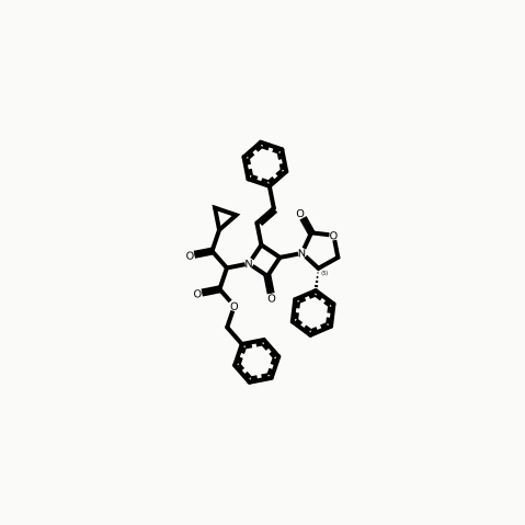 O=C(OCc1ccccc1)C(C(=O)C1CC1)N1C(=O)C(N2C(=O)OC[C@@H]2c2ccccc2)C1C=Cc1ccccc1